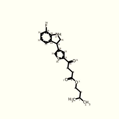 CC(C)CCOC(=O)CCC(=O)c1cc(C2CNc3c(F)cccc32)cs1